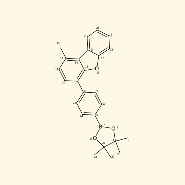 CC1(C)OB(c2ccc(-c3ccc(I)c4c3oc3ccccc34)cc2)OC1(C)C